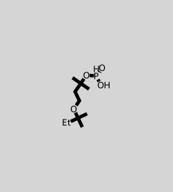 CCC(C)(C)OCCC(C)(C)O[PH](=O)O